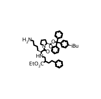 CCOC(=O)C(CCc1ccccc1)CN[C@@H](CCCCN)C(=O)N1CCC[C@H]1C(=O)OC(c1ccccc1)(c1ccccc1)c1ccc([C@H](C)CC)cc1